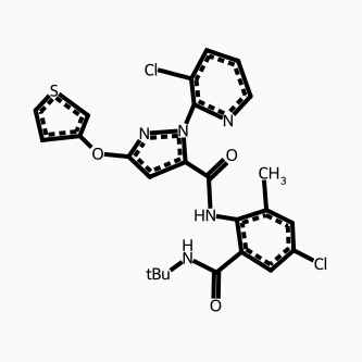 Cc1cc(Cl)cc(C(=O)NC(C)(C)C)c1NC(=O)c1cc(Oc2ccsc2)nn1-c1ncccc1Cl